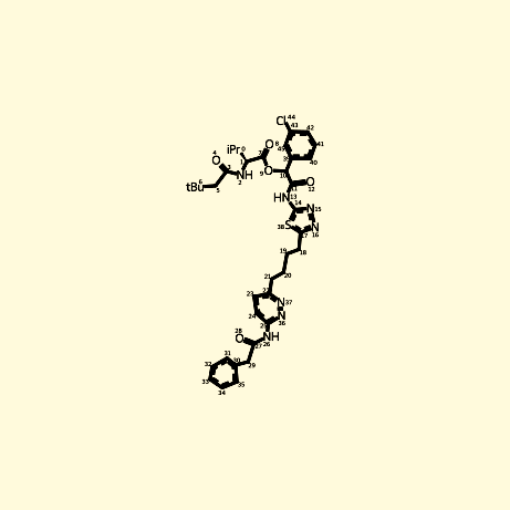 CC(C)[C@H](NC(=O)CC(C)(C)C)C(=O)OC(C(=O)Nc1nnc(CCCCc2ccc(NC(=O)Cc3ccccc3)nn2)s1)c1cccc(Cl)c1